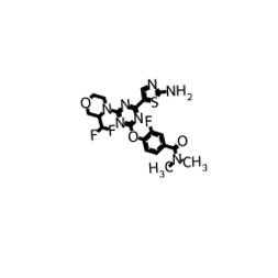 CN(C)C(=O)c1ccc(Oc2nc(-c3cnc(N)s3)nc(N3CCOCC3C(F)F)n2)c(F)c1